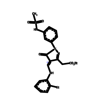 CCOC(=O)CC1=NN(c2cccc(NS(C)(=O)=O)c2)C(=O)/C1=C/Nc1ccccc1CC